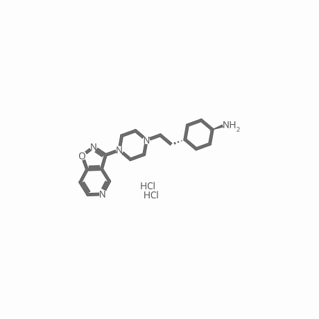 Cl.Cl.N[C@H]1CC[C@H](CCN2CCN(c3noc4ccncc34)CC2)CC1